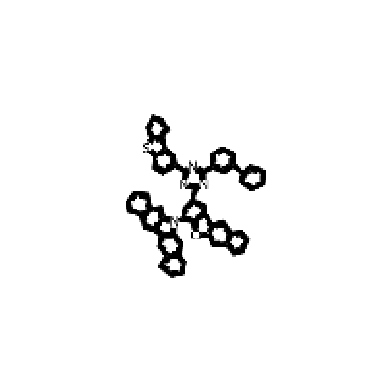 c1ccc(-c2cccc(-c3nc(-c4ccc5sc6ccccc6c5c4)nc(-c4cc(-n5c6cc7ccccc7cc6c6cc7ccccc7cc65)c5oc6cc7ccccc7cc6c5c4)n3)c2)cc1